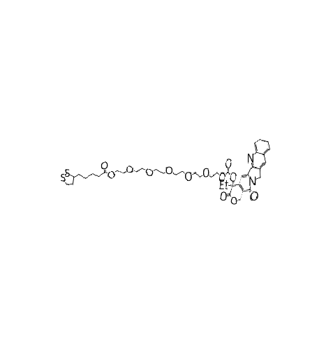 CCC1(OC(=O)OCCOCCOCCOCCOCCOCCOC(=O)CCCCC2CCSS2)C(=O)OCc2c1cc1n(c2=O)Cc2cc3ccccc3nc2-1